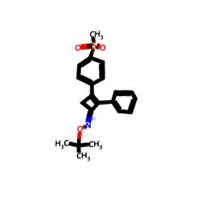 CC(C)(C)O/N=C1\CC(c2ccc(S(C)(=O)=O)cc2)=C1c1ccccc1